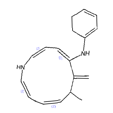 C=C1/C(NC2=CC=CCC2)=C\C=C/N/C=C\C=C/C1C